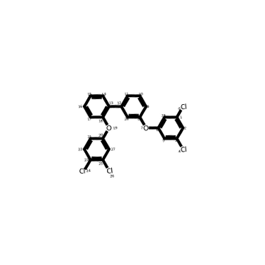 Clc1cc(Cl)cc(Oc2cccc(-c3[c]cccc3Oc3ccc(Cl)c(Cl)c3)c2)c1